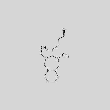 CCC1CN2CCCCC2CN(C)C1CCCC=O